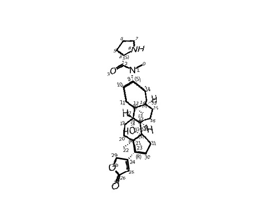 CN(C(=O)[C@@H]1CCCN1)[C@H]1CC[C@@]2(C)[C@H](CC[C@@H]3[C@@H]2CC[C@]2(C)[C@@H](C4=CC(=O)OC4)CC[C@]32O)C1